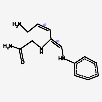 NC/C=C\C(=C\Nc1ccccc1)NCC(N)=O